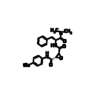 CN(C)C(=O)[C@H](Cc1ccccc1)NC(=O)[C@H]1O[C@@H]1C(=O)Nc1ccc(C(C)(C)C)cc1